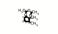 CC(=O)OC(C)=O.Cc1ccccc1C